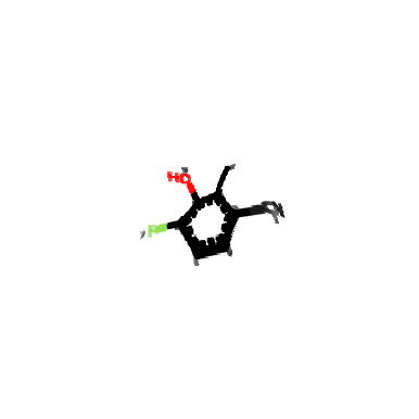 Cc1c(C#N)ccc(F)c1O